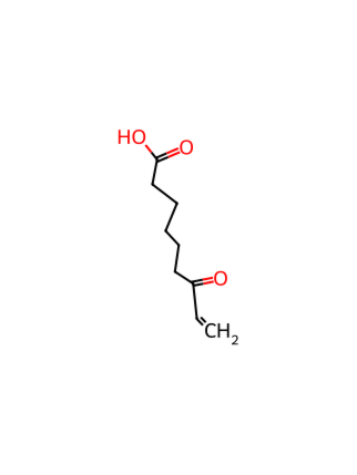 C=CC(=O)CCCCCC(=O)O